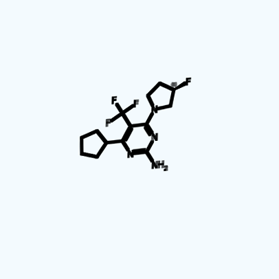 Nc1nc(C2CCCC2)c(C(F)(F)F)c(N2CC[C@@H](F)C2)n1